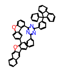 c1ccc(-c2nc(-c3cccc(C4(c5ccccc5)c5ccccc5-c5ccccc54)c3)nc(-c3cccc4oc5ccc(-c6cccc7c6oc6cc8ccccc8cc67)cc5c34)n2)cc1